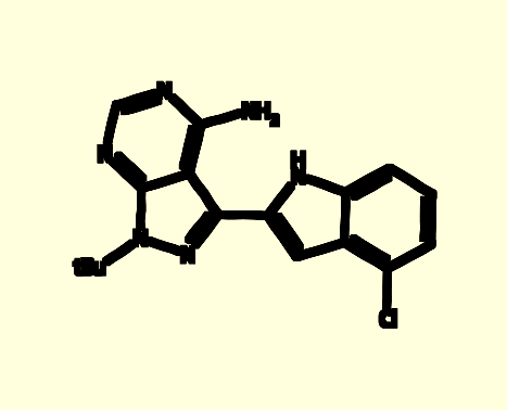 CC(C)(C)n1nc(-c2cc3c(Cl)cccc3[nH]2)c2c(N)ncnc21